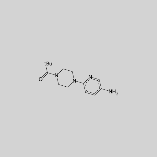 CC(C)(C)C(=O)N1CCN(c2ccc(N)cn2)CC1